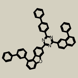 c1ccc(-c2ccc(-c3nc(-c4ccc5c(c4)oc4cccc(-c6cccc(-c7ccccc7)c6)c45)nc(-c4ccc5cccc(-c6ccccc6)c5c4)n3)cc2)cc1